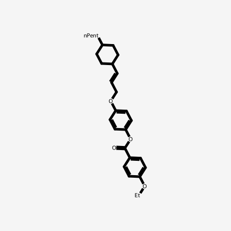 CCCCCC1CCC(C=CCOc2ccc(OC(=O)c3ccc(OCC)cc3)cc2)CC1